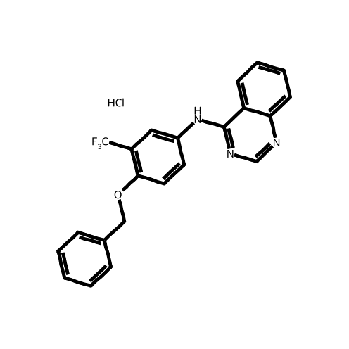 Cl.FC(F)(F)c1cc(Nc2ncnc3ccccc23)ccc1OCc1ccccc1